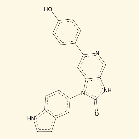 O=c1[nH]c2cnc(-c3ccc(O)cc3)cc2n1-c1ccc2[nH]ccc2c1